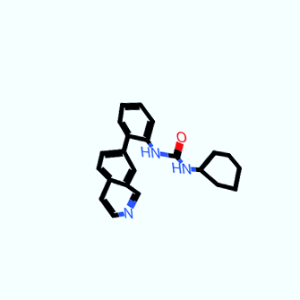 O=C(Nc1ccccc1-c1ccc2ccncc2c1)NC1CCCCC1